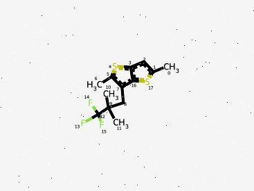 Cc1cc2sc(C)c(CC(C)(C)C(F)(F)F)c2s1